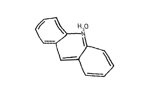 O.c1ccc2nc3ccccc3cc2c1